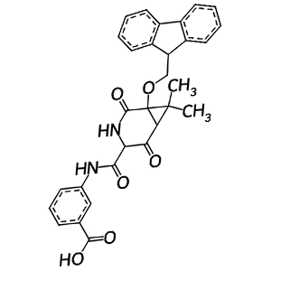 CC1(C)C2C(=O)C(C(=O)Nc3cccc(C(=O)O)c3)NC(=O)C21OCC1c2ccccc2-c2ccccc21